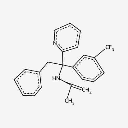 C=C(C)NC(Cc1ccccc1)(c1cccc(C(F)(F)F)c1)c1ccccn1